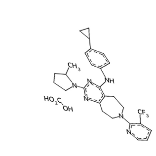 CC1CCCN1c1nc2c(c(Nc3ccc(C4CC4)cc3)n1)CCN(c1ncccc1C(F)(F)F)CC2.O=C(O)O